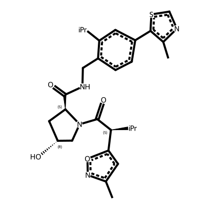 Cc1cc([C@@H](C(=O)N2C[C@H](O)C[C@H]2C(=O)NCc2ccc(-c3scnc3C)cc2C(C)C)C(C)C)on1